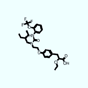 CCOC(Cc1ccc(OCCN(CC(CC)CC)C(=O)Nc2ccccc2OC(F)(F)F)cc1)C(=O)O